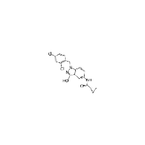 O=C(Nc1ccc2c(c1)c(O)nn2Cc1ccc(Cl)cc1Cl)C1CC1